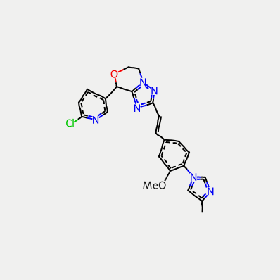 COc1cc(C=Cc2nc3n(n2)CCOC3c2ccc(Cl)nc2)ccc1-n1cnc(C)c1